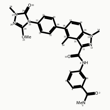 CNC(=O)c1cccc(NC(=O)c2nn(C)c3ccc(-c4ccc(-n5c(OC)nn(C)c5=O)cc4)c(C)c23)c1